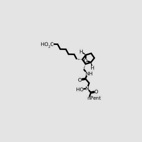 CCCCCC(=O)N(O)CC(=O)NC[C@@H]1[C@H](CCCCCCC(=O)O)[C@@H]2CC[C@H]1O2